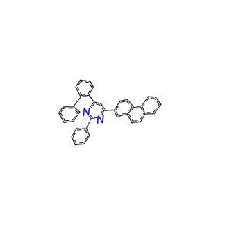 c1ccc(-c2nc(-c3ccc4c(ccc5ccccc54)c3)cc(-c3ccccc3-c3ccccc3)n2)cc1